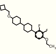 CCOc1ccc(C2CCC(C3CCC(OCC4CCC4)CC3)CC2)c(F)c1F